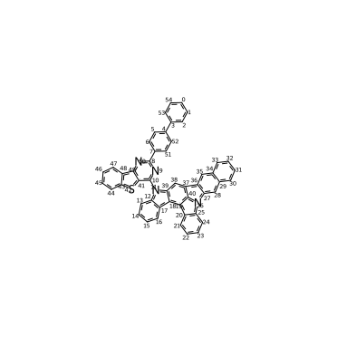 c1ccc(-c2ccc(-c3nc(-n4c5ccccc5c5c6c7ccccc7n7c8cc9ccccc9cc8c(cc54)c67)c4sc5ccccc5c4n3)cc2)cc1